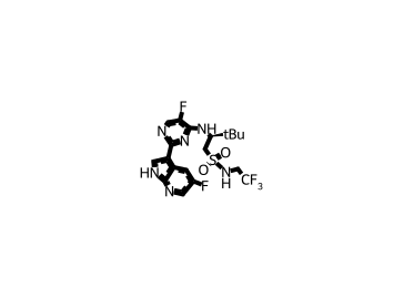 CC(C)(C)[C@@H](CS(=O)(=O)NCC(F)(F)F)Nc1nc(-c2c[nH]c3ncc(F)cc23)ncc1F